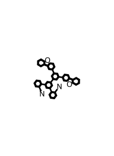 N#Cc1ccccc1-c1cc(-c2cc(-c3ccc4c(c3)oc3ccccc34)cc(-c3ccc4oc5ccccc5c4c3)c2)cc(-c2ccccc2C#N)c1